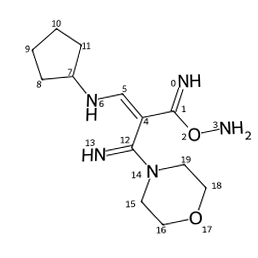 N=C(ON)/C(=C/NC1CCCC1)C(=N)N1CCOCC1